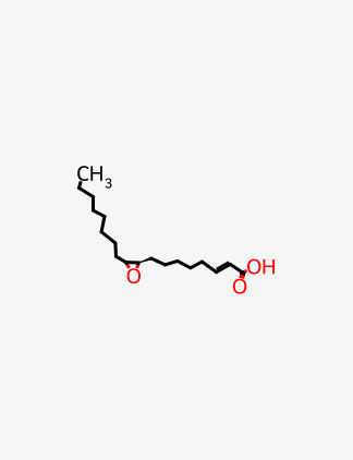 CCCCCCCCC1O[C@@H]1CCCCCC=CC(=O)O